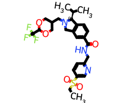 CCS(=O)(=O)c1ccc(CNC(=O)c2ccc3c(c2)CN(CC2COC(C(F)(F)F)OC2)[C@H]3C(C)C)nc1